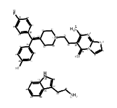 Cc1nc2sccn2c(=O)c1CCN1CCC(=C(c2ccc(F)cc2)c2ccc(F)cc2)CC1.NCCc1c[nH]c2ccccc12